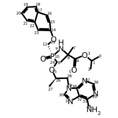 CC(C)OC(=O)C(C)(C)N[P@@](=O)(COc1ccc2ccccc2c1)CO[C@H](C)Cn1cnc2c(N)ncnc21